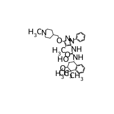 CO[C@H]1[C@@H](O)[C@H](NC(=O)Nc2c(C)c(OCC3CCN(C)CC3)nn2-c2ccccc2)c2ccccc2C1(C)C